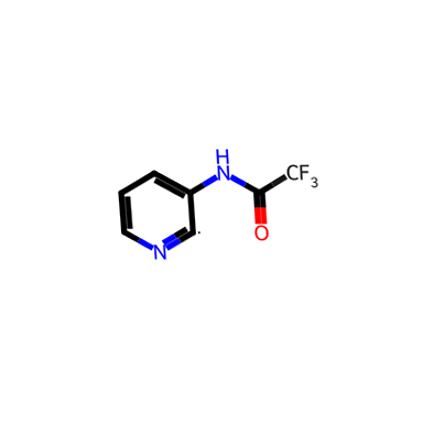 O=C(Nc1[c]nccc1)C(F)(F)F